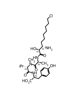 CC(C)[C@@H](C(=O)N[C@@H](Cc1ccc(O)cc1)C(=O)O)N(C)C(=O)[C@H](C)NC(=O)[C@@H](O)[C@@H](N)CCCCCCCCl